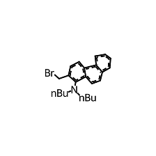 CCCCN(CCCC)c1c(CBr)ccc2c1ccc1ccccc12